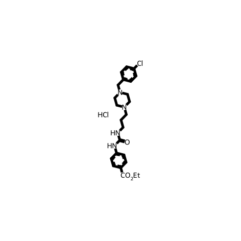 CCOC(=O)c1ccc(NC(=O)NCCCN2CCN(Cc3ccc(Cl)cc3)CC2)cc1.Cl